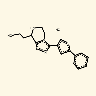 Cl.OCCC1NCCn2c(-c3csc(-c4ccccc4)n3)nnc21